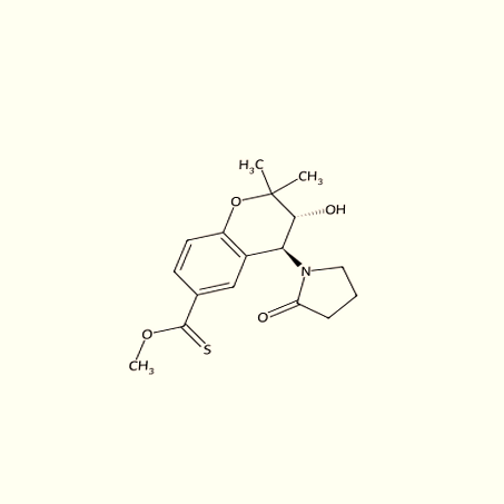 COC(=S)c1ccc2c(c1)[C@H](N1CCCC1=O)[C@@H](O)C(C)(C)O2